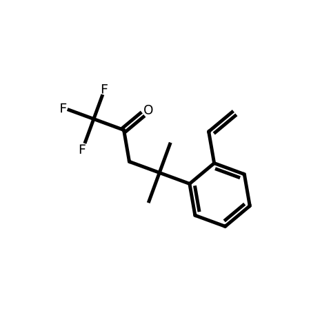 C=Cc1ccccc1C(C)(C)CC(=O)C(F)(F)F